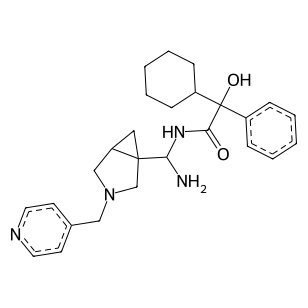 NC(NC(=O)C(O)(c1ccccc1)C1CCCCC1)C12CC1CN(Cc1ccncc1)C2